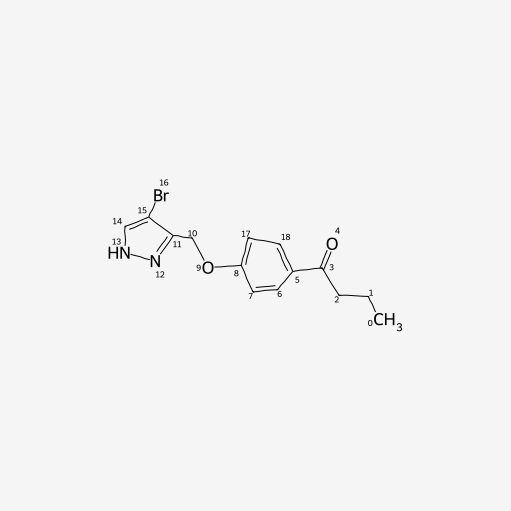 CCCC(=O)c1ccc(OCc2n[nH]cc2Br)cc1